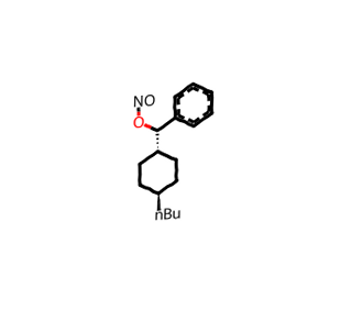 CCCC[C@H]1CC[C@H](C(ON=O)c2ccccc2)CC1